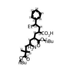 CCCCOC(=O)C(CC(N)CC(C)(C)C(=O)OCCCC)CC(CC(CC)c1ccccc1)C(=O)O